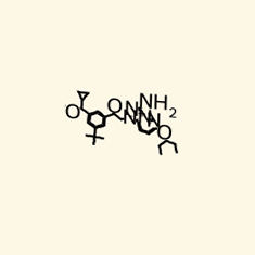 CCC(CC)Oc1ccc2n(n1)c(N)n[n+]2CC(=O)c1cc(C(OC)C2CC2)cc(C(C)(C)C)c1